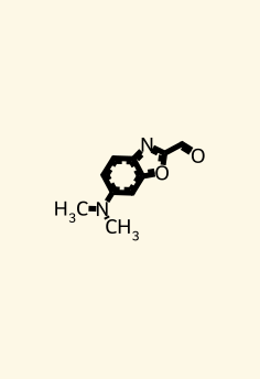 CN(C)c1ccc2nc(C=O)oc2c1